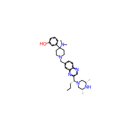 CCC[C@H](c1cnc2ccc(CN3CCC(c4cccc(O)c4)(N(C)C)CC3)cc2n1)N1C[C@@H](C)N[C@@H](C)C1